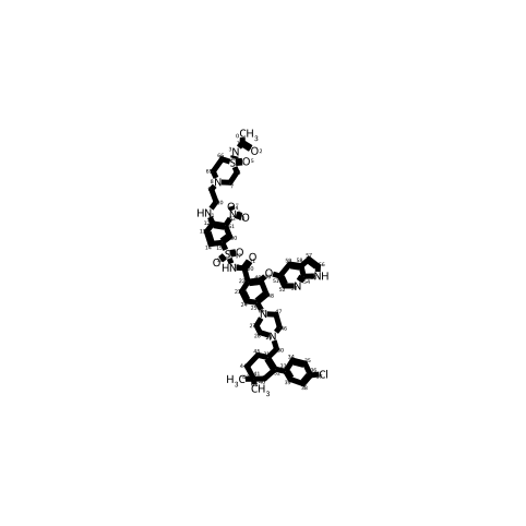 CC(=O)N=S1(=O)CCN(CCNc2ccc(S(=O)(=O)NC(=O)c3ccc(N4CCN(CC5=C(c6ccc(Cl)cc6)CC(C)(C)CC5)CC4)cc3Oc3cnc4[nH]ccc4c3)cc2[N+](=O)[O-])CC1